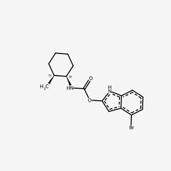 C[C@H]1CCCC[C@H]1NC(=O)Oc1cc2c(Br)cccc2[nH]1